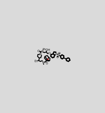 CCC(CCN(C)C(=O)C12CC3CC(CC(C3)C1)C2)C1CCN(C(=O)N(CC(O)COc2cccc3c2ccn3S(=O)(=O)c2ccc(-c3ccccc3)cc2)C(C)C)CC1